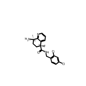 C[C@@]1(N)CC[C@@](F)(C(=O)NCc2ccc(Cl)cc2Cl)c2cccnc21